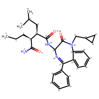 CCC[C@H](C(N)=O)[C@@H](CC(C)C)C(=O)NC1N=C(c2ccccc2)c2ccccc2N(CC2CC2)C1=O